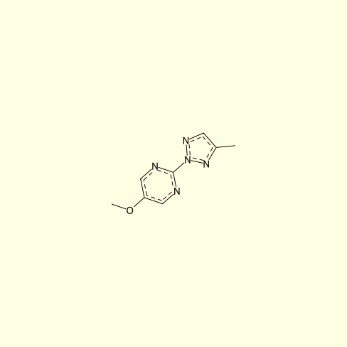 COc1cnc(-n2ncc(C)n2)nc1